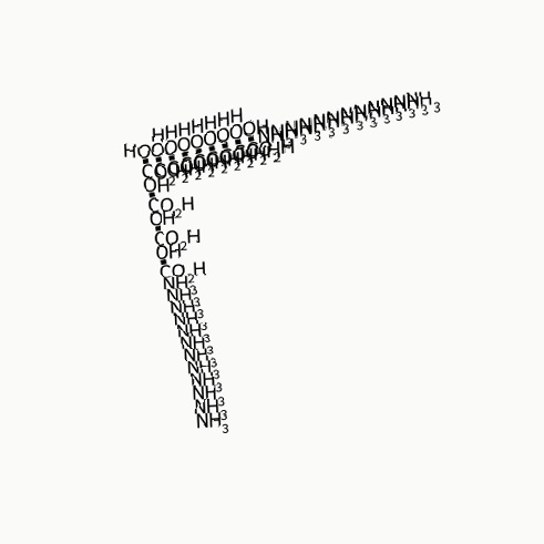 N.N.N.N.N.N.N.N.N.N.N.N.N.N.N.N.N.N.N.N.N.N.N.N.O=C(O)O.O=C(O)O.O=C(O)O.O=C(O)O.O=C(O)O.O=C(O)O.O=C(O)O.O=C(O)O.O=C(O)O.O=C(O)O.O=C(O)O.O=C(O)O